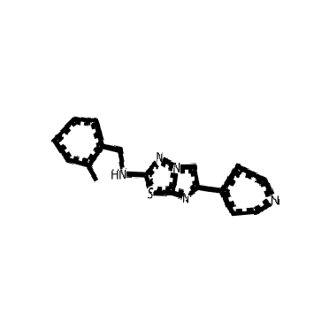 Cc1ccccc1CNc1nn2cc(-c3ccncc3)nc2s1